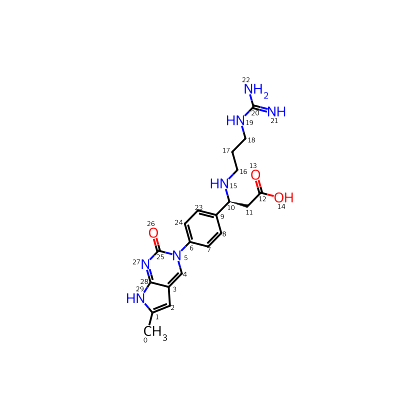 Cc1cc2cn(-c3ccc([C@H](CC(=O)O)NCCCNC(=N)N)cc3)c(=O)nc2[nH]1